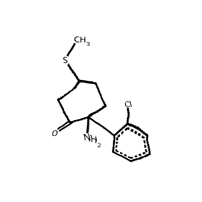 CSC1CCC(N)(c2ccccc2Cl)C(=O)C1